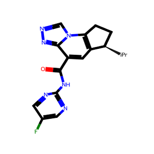 CC(C)[C@@H]1CCc2c1cc(C(=O)Nc1ncc(F)cn1)c1nncn21